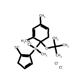 CC1=CCC(OC(C)(C)C)([Si](C)(C)C2=[C]([Ti+2])CC=C2)C(C)=C1.[Cl-].[Cl-]